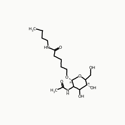 CCCCNC(=O)CCCCO[C@@H]1OC(CO)[C@H](O)C(O)C1NC(C)=O